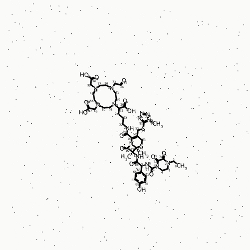 CCN1CCN(C(=O)N[C@H](C(=O)N[C@]2(C)C(=O)N3C(C(=O)NCCCC(C(=O)O)N4CCN(CC=O)CCN(CC(=O)O)CCN(CC(=O)O)CC4)=C(CSc4nnnn4C)CS[C@@]32C)c2ccc(O)cc2)C(=O)C1=O